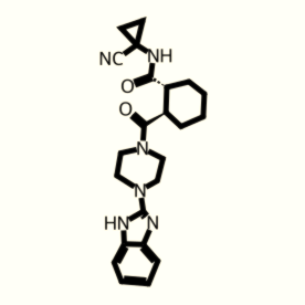 N#CC1(NC(=O)[C@@H]2CCCC[C@H]2C(=O)N2CCN(c3nc4ccccc4[nH]3)CC2)CC1